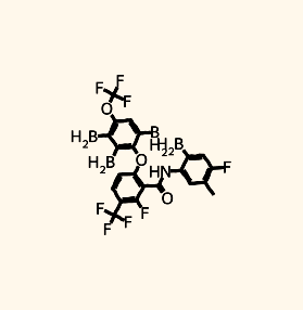 Bc1cc(F)c(C)cc1NC(=O)c1c(Oc2c(B)cc(OC(F)(F)F)c(B)c2B)ccc(C(F)(F)F)c1F